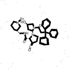 CCN1CCC[C@@H](CNC(=O)[C@H]2C(=C=O)CCN2[C@@H]2C[C@@H](O)CN2C(=O)CC(c2ccccc2)(c2ccccc2)c2ccccc2)C1